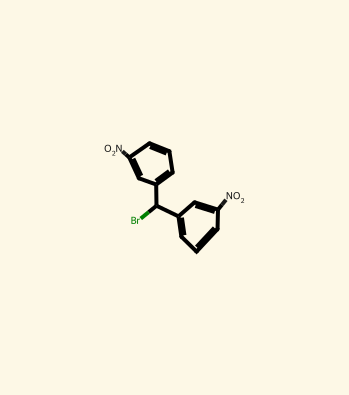 O=[N+]([O-])c1cccc(C(Br)c2cccc([N+](=O)[O-])c2)c1